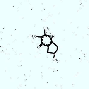 Cc1[nH]c2c(c(=O)c1C)CC(C)CC2